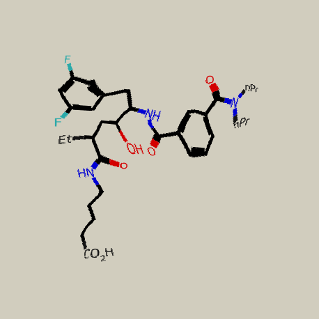 CCCN(CCC)C(=O)c1cccc(C(=O)NC(Cc2cc(F)cc(F)c2)C(O)CC(CC)C(=O)NCCCCC(=O)O)c1